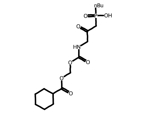 CCCCP(=O)(O)CC(=O)CNC(=O)OCOC(=O)C1CCCCC1